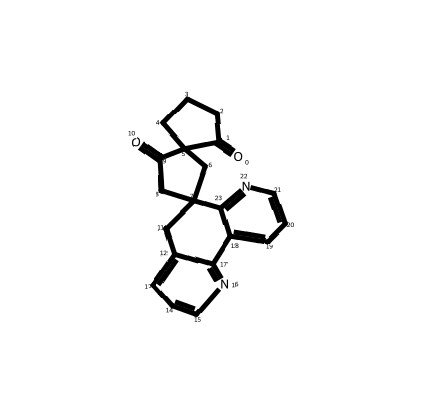 O=C1CCCC12CC1(CC2=O)Cc2cccnc2-c2cccnc21